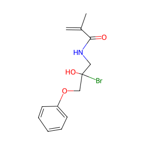 C=C(C)C(=O)NCC(O)(Br)COc1ccccc1